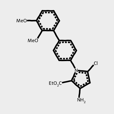 CCOC(=O)c1c(N)cc(Cl)n1-c1ccc(-c2cccc(OC)c2OC)cc1